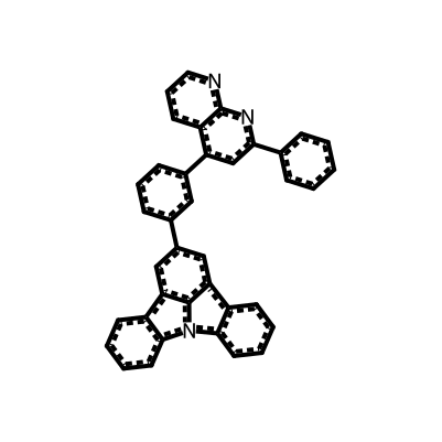 c1ccc(-c2cc(-c3cccc(-c4cc5c6ccccc6n6c7ccccc7c(c4)c56)c3)c3cccnc3n2)cc1